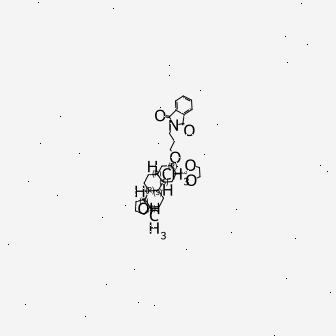 C[C@]12CC(C3OCCO3)[C@H](OCCCN3C(=O)c4ccccc4C3=O)C[C@H]1CC[C@@H]1[C@@H]2CC[C@]2(C)CCC[C@]12O